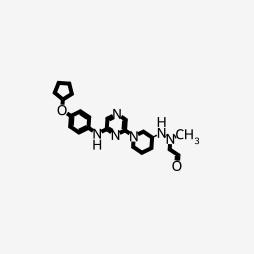 CN(CC=O)N[C@@H]1CCCN(c2cncc(Nc3ccc(OC4CCCC4)cc3)n2)C1